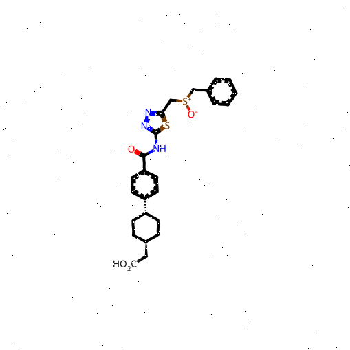 O=C(O)C[C@H]1CC[C@H](c2ccc(C(=O)Nc3nnc(C[S+]([O-])Cc4ccccc4)s3)cc2)CC1